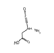 N.O=P#CNCC(=O)O